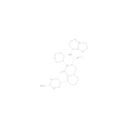 COc1ncc(-c2cccc3cc([C@H](C)Nc4ccnn5ccnc45)n(-c4ccccc4)c(=O)c23)cn1